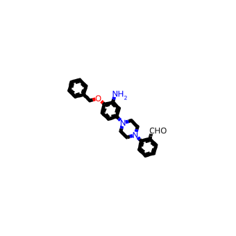 Nc1cc(N2CCN(c3ccccc3C=O)CC2)ccc1OCc1ccccc1